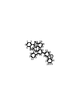 c1ccc2c(c1)nc(-n1c3ccccc3c3cc(-c4ccc5oc6ccccc6c5c4)ccc31)n1c3ccccc3nc21